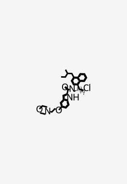 CCC(C)Cc1cc2c(c3ccccc13)[C@H]([C@@H](C)Cl)CN2C(=O)c1cc2cc(OCCN3CCOCC3)ccc2[nH]1